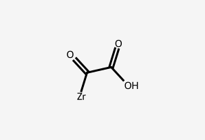 O=C(O)[C](=O)[Zr]